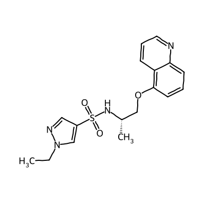 CCn1cc(S(=O)(=O)N[C@@H](C)COc2cccc3ncccc23)cn1